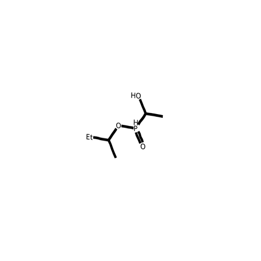 CCC(C)O[PH](=O)C(C)O